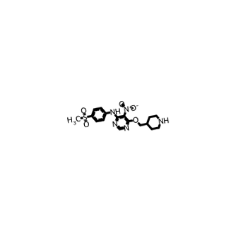 CS(=O)(=O)c1ccc(Nc2ncnc(OCC3CCNCC3)c2[N+](=O)[O-])cc1